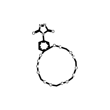 O=C1N=NC(=O)N1c1ccc2c(c1)OCCOCCOCCOCCOCCOCCO2